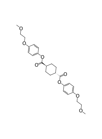 COCCOc1ccc(OC(=O)[C@H]2CC[C@H](C(=O)Oc3ccc(OCCOC)cc3)CC2)cc1